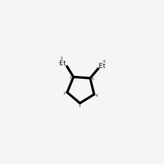 C[CH]C1CCCC1CC